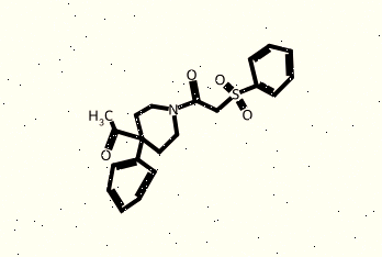 CC(=O)C1(c2ccccc2)CCN(C(=O)CS(=O)(=O)c2ccccc2)CC1